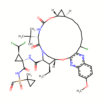 CC[C@@H]1[C@@H]2CN(C(=O)[C@H](C(C)(C)C)NC(=O)O[C@@H]3C[C@H]3CCCCC(F)c3nc4ccc(OC)cc4nc3O2)[C@@H]1C(=O)N[C@]1(C(=O)N[SH](=O)(C=O)C2(C)CC2)C[C@H]1C(F)F